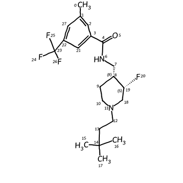 Cc1cc(C(=O)NC[C@H]2CCN(CCC(C)(C)C)C[C@H]2F)cc(C(F)(F)F)c1